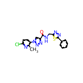 Cc1nc(Cl)ccc1-n1cc(C(=O)NCc2nnc(-c3ccccc3)s2)nn1